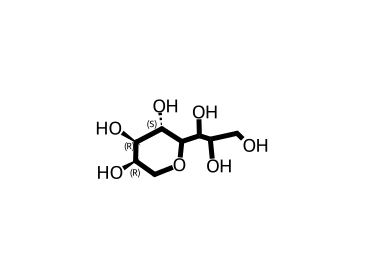 OCC(O)C(O)C1OC[C@@H](O)[C@@H](O)[C@@H]1O